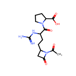 CC(=O)N1C(=O)CC1CCC(NC(=N)N)C(=O)N1CCCC1C(=O)O